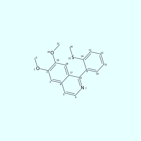 COc1cc2ccnc(-c3ccccc3SC)c2cc1OC